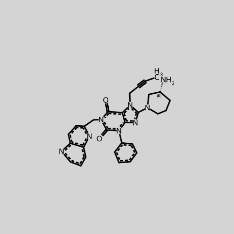 CC#CCn1c(N2CCC[C@@H](N)C2)nc2c1c(=O)n(Cc1ccc3ncccc3n1)c(=O)n2-c1ccccc1